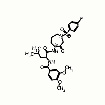 COc1ccc(C(=O)NC(CC(C)C)C(=O)N[C@H]2CCCN(S(=O)(=O)c3ccc(F)cc3)CC2=O)cc1OC